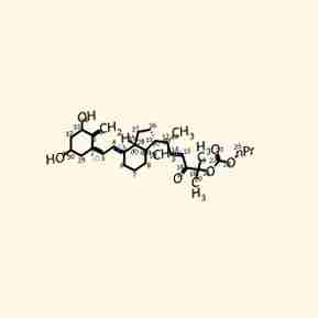 C=C1/C(=C\C=C2/CCC[C@]3(C)[C@@H]([C@H](C)/C=C/C(=O)C(C)(C)OC(=O)OCCC)CC[C@@H]23)CC(O)CC1O